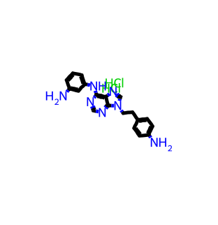 Cl.Cl.Nc1ccc(CCn2cnc3c(Nc4cccc(N)c4)ncnc32)cc1